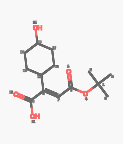 CC(C)(C)OC(=O)/C=C(/C(=O)O)C1CCC(O)CC1